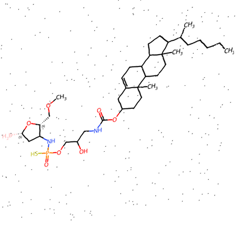 B[C@H]1CC(NP(=O)(S)OCC(O)CNC(=O)OC2CCC3(C)C(=CCC4C3CCC3(C)C(C(C)CCCCC)CCC43)C2)[C@@H](COC)O1